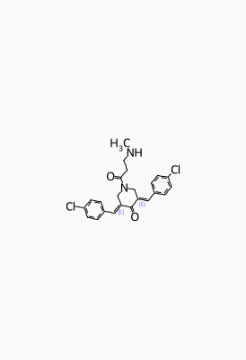 CNCCC(=O)N1C/C(=C\c2ccc(Cl)cc2)C(=O)/C(=C/c2ccc(Cl)cc2)C1